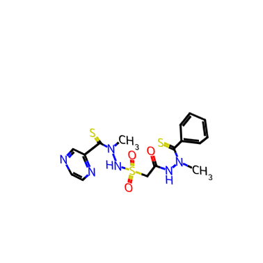 CN(NC(=O)CS(=O)(=O)NN(C)C(=S)c1cnccn1)C(=S)c1ccccc1